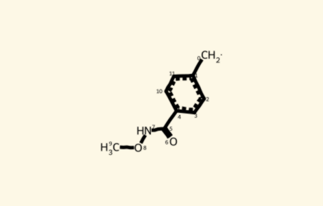 [CH2]c1ccc(C(=O)NOC)cc1